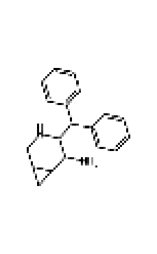 NC1C2CC2CNC1C(c1ccccc1)c1ccccc1